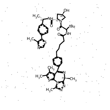 Cc1ncsc1-c1ccc([C@H](C)NC(=O)[C@@H]2C[C@@H](O)CN2C(=O)C(NC(=O)CCCCc2ccc(C3=N[C@@H](C)c4nnc(C)n4-c4sc(C)c(C)c43)cc2)C(C)(C)C)cc1